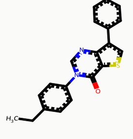 CCc1ccc(-n2cnc3c(-c4ccccc4)csc3c2=O)cc1